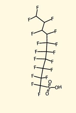 O=S(=O)(O)C(F)(F)C(F)(F)C(F)(F)C(F)(F)C(F)(F)C(F)(F)C(F)C(F)C(F)C(F)F